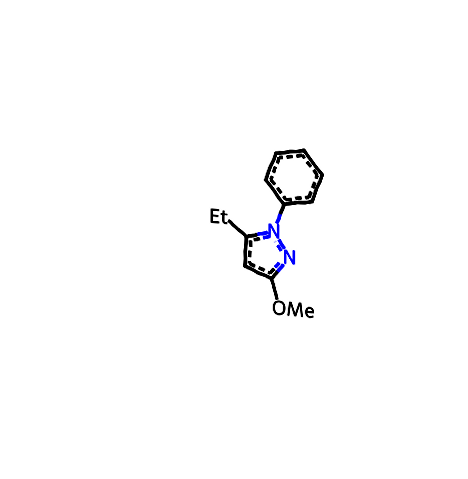 CCc1cc(OC)nn1-c1ccccc1